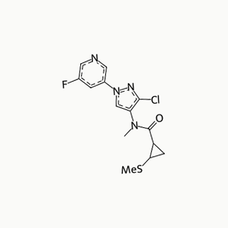 CSC1CC1C(=O)N(C)c1cn(-c2cncc(F)c2)nc1Cl